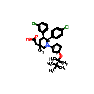 CC1(CC(=O)O)CC(c2cccc(Cl)c2)[C@@H](c2ccc(Cl)cc2)N([C@H]2CC[C@@H](O[Si](C)(C)C(C)(C)C)C2)C1